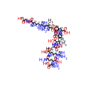 CC(C)[C@H](N)C(=O)O.CC[C@H](C)[C@H](N)C(=O)O.C[C@H](N)C(=O)O.N=C(N)NCCC[C@H](N)C(=O)O.N=C(N)NCCC[C@H](N)C(=O)O.NC(=O)CC[C@H](N)C(=O)O.NCC(=O)O.NCC(=O)O.N[C@@H](Cc1ccccc1)C(=O)O.O=C(O)[C@@H]1CCCN1